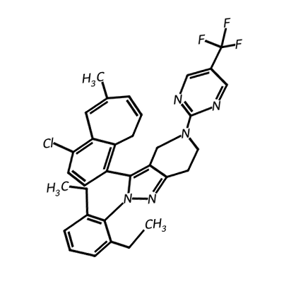 CCc1cccc(CC)c1-n1nc2c(c1-c1ccc(Cl)c3c1CC=CC(C)=C3)CN(c1ncc(C(F)(F)F)cn1)CC2